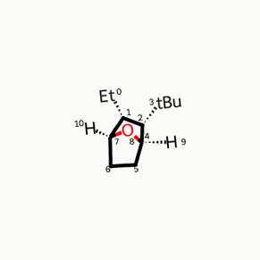 CC[C@@H]1[C@H](C(C)(C)C)[C@H]2CC[C@@H]1O2